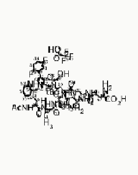 CC(=O)N[C@@H](CCCCN)C(=O)N[C@@H](C)C(=O)NC(C)C(=O)N([C@@H](CC(N)=O)C(N)=O)[C@@H](CCN(C(=O)CO)[C@@H](c1cc(-c2cc(F)ccc2F)cn1Cc1ccccc1)C(C)(C)C)C(=O)NCCNC(=O)CC[C@H](N)C(=O)O.O=C(O)C(F)(F)F